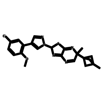 COc1ccc(Cl)cc1-c1cnn(C2N=C3N=CC(C)(C45CC(C)(C4)C5)N=C3S2)c1